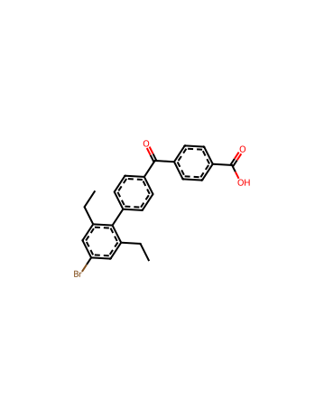 CCc1cc(Br)cc(CC)c1-c1ccc(C(=O)c2ccc(C(=O)O)cc2)cc1